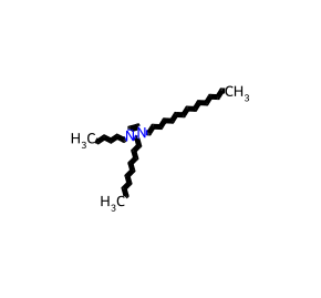 CCCCCCCCCCCCCCCN1C=CN(CCCCCC)C1CCCCCCCCCC